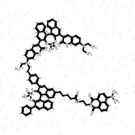 CCN(CC)c1ccc2cc(-c3cc4ccccc4c4c3OP(=O)(O)Oc3c(-c5cc6ccc(N(CC)CCc7ccc(-c8cc9cc(CCCCC(=O)NCCN%10C(=O)c%11cccc%12c(N(C)C)ccc(c%11%12)C%10=O)ccc9c9c8OP(=O)(O)Oc8c(-c%10ccccc%10)cc%10ccccc%10c8-9)cc7)cc6oc5=O)cc5ccccc5c3-4)c(=O)oc2c1